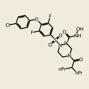 CCCC(CCC)C(=O)N1CCN(S(=O)(=O)c2cc(F)c(Oc3ccc(Cl)cc3)c(F)c2)[C@@H](C(=O)NO)C1